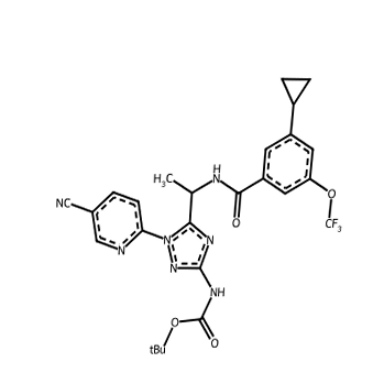 CC(NC(=O)c1cc(OC(F)(F)F)cc(C2CC2)c1)c1nc(NC(=O)OC(C)(C)C)nn1-c1ccc(C#N)cn1